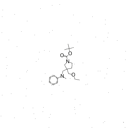 CCOCC1(CN(C)c2ccccc2)CCN(C(=O)OC(C)(C)C)C1